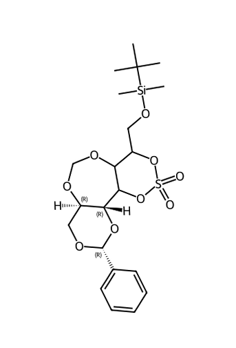 CC(C)(C)[Si](C)(C)OCC1OS(=O)(=O)OC2C1OCO[C@@H]1CO[C@@H](c3ccccc3)O[C@@H]21